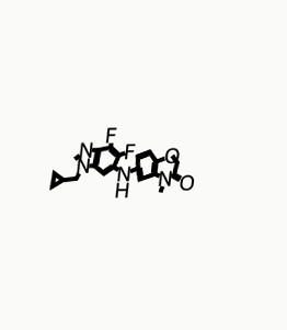 CN1C(=O)COc2ccc(Nc3cc4c(ncn4CC4CC4)c(F)c3F)cc21